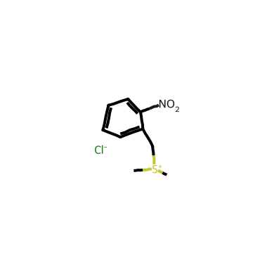 C[S+](C)Cc1ccccc1[N+](=O)[O-].[Cl-]